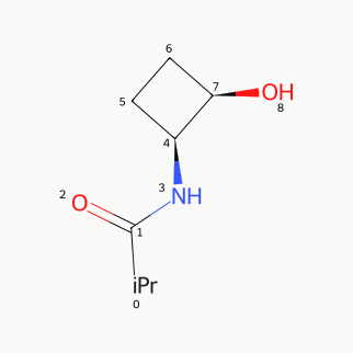 CC(C)C(=O)N[C@H]1CC[C@H]1O